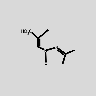 CCN(/C=C(\C)C(=O)O)N=C(C)C